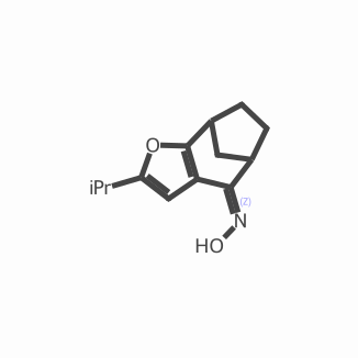 CC(C)c1cc2c(o1)C1CCC(C1)/C2=N/O